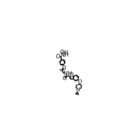 C[C@H](CNC(=O)c1cc2cc(OC3CCN(C4CC4)CC3)ccc2o1)Oc1ccc(C(=O)NO)cc1